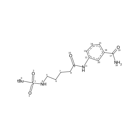 CC(C)(C)S(=O)(=O)NCCCCC(=O)Nc1cccc(C(N)=O)c1